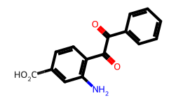 Nc1cc(C(=O)O)ccc1C(=O)C(=O)c1ccccc1